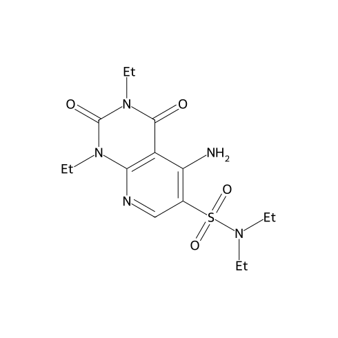 CCN(CC)S(=O)(=O)c1cnc2c(c1N)c(=O)n(CC)c(=O)n2CC